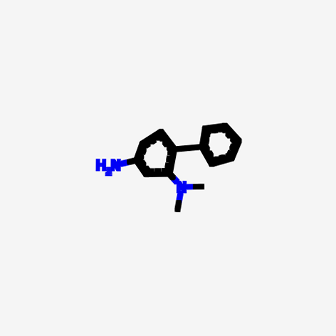 CN(C)c1cc(N)ccc1-c1ccccc1